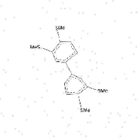 CSc1ccc(-c2ccc(SC)c(SC)c2)cc1SC